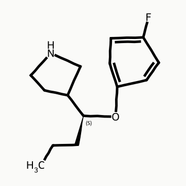 CCC[C@H](Oc1ccc(F)cc1)C1CCNC1